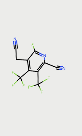 N#CCc1c(F)nc(C#N)c(C(F)(F)F)c1C(F)(F)F